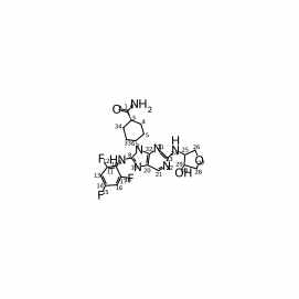 NC(=O)[C@H]1CC[C@H](n2c(Nc3c(F)cc(F)cc3F)nc3cnc(NC4COCC4O)nc32)CC1